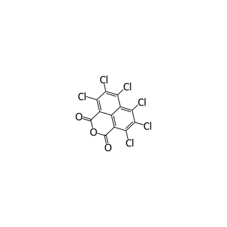 O=C1OC(=O)c2c(Cl)c(Cl)c(Cl)c3c(Cl)c(Cl)c(Cl)c1c23